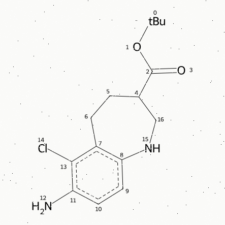 CC(C)(C)OC(=O)C1CCc2c(ccc(N)c2Cl)NC1